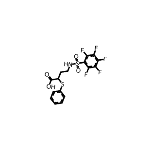 O=C(O)C(CCNS(=O)(=O)c1c(F)c(F)c(F)c(F)c1F)Sc1ccccc1